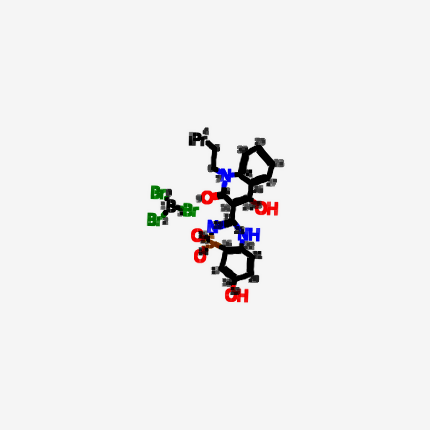 BrB(Br)Br.CC(C)CCn1c(=O)c(C2=NS(=O)(=O)c3cc(O)ccc3N2)c(O)c2ccccc21